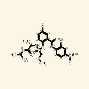 COCP(=O)(N[C@@H](C)C(=O)OC(C)C)Oc1ccc(Cl)cc1C(=O)Nc1ccc([N+](=O)[O-])cc1Cl